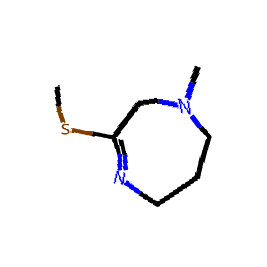 CSC1=NCCCN(C)C1